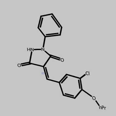 CCCOc1ccc(/C=C2/C(=O)NN(c3ccccc3)C2=O)cc1Cl